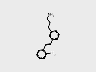 NCCCc1cccc(C=Cc2ccccc2C(F)(F)F)c1